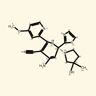 COc1ccnc(C2=C(C#N)C(N)=C[C@@](c3nccs3)(N3CCC(C)(O)C3)N2)c1